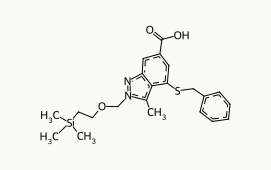 Cc1c2c(SCc3ccccc3)cc(C(=O)O)cc2nn1COCC[Si](C)(C)C